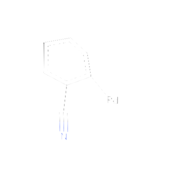 N#Cc1cccc[c]1[Pd]